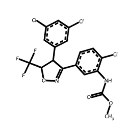 COC(=O)Nc1cc(C2=NOC(C(F)(F)F)C2c2cc(Cl)cc(Cl)c2)ccc1Cl